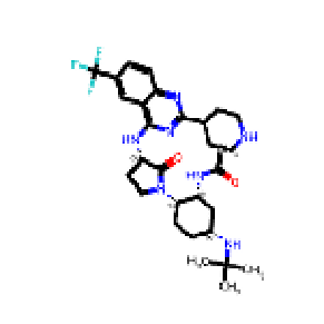 CC(=O)N[C@@H]1C[C@H](NC(C)(C)C)CC[C@@H]1N1CC[C@H](Nc2nc(C3CCNCC3)nc3ccc(C(F)(F)F)cc23)C1=O